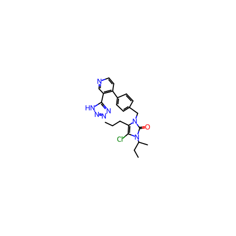 CCCc1c(Cl)n(C(C)CC)c(=O)n1Cc1ccc(-c2ccncc2-c2nnn[nH]2)cc1